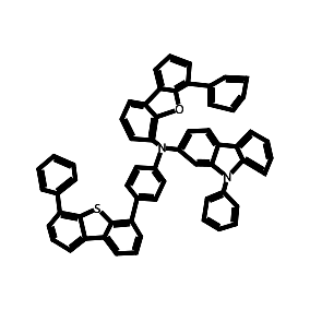 c1ccc(-c2cccc3c2oc2c(N(c4ccc(-c5cccc6c5sc5c(-c7ccccc7)cccc56)cc4)c4ccc5c6ccccc6n(-c6ccccc6)c5c4)cccc23)cc1